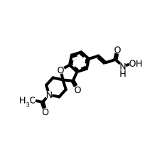 CC(=O)N1CCC2(CC1)Oc1ccc(C=CC(=O)NO)cc1C2=O